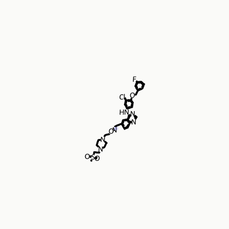 CS(=O)(=O)CCN1CCN(CCO/N=C/c2ccc3ncnc(Nc4ccc(OCc5cccc(F)c5)c(Cl)c4)c3c2)CC1